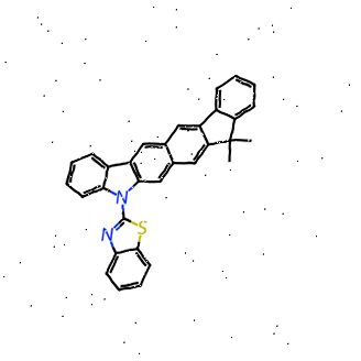 CC1(C)c2ccccc2-c2cc3cc4c5ccccc5n(-c5nc6ccccc6s5)c4cc3cc21